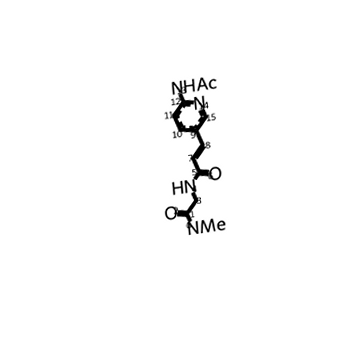 CNC(=O)CNC(=O)/C=C/c1ccc(NC(C)=O)nc1